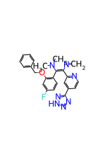 C=N/C(=C(/c1ccc(F)cc1OCc1ccccc1)N(C)C)c1cc(-c2nn[nH]n2)ccn1